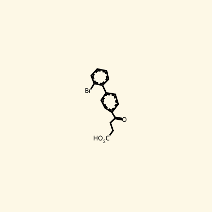 O=C(O)CCC(=O)c1ccc(-c2ccccc2Br)cc1